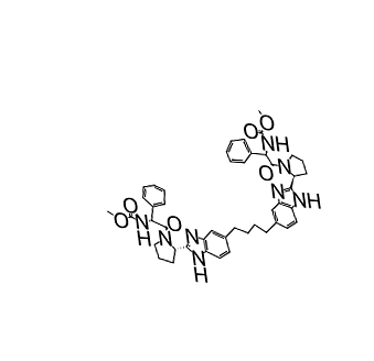 COC(=O)N[C@@H](C(=O)N1CCC[C@H]1c1nc2cc(CCCCc3ccc4[nH]c([C@@H]5CCCN5C(=O)[C@H](NC(=O)OC)c5ccccc5)nc4c3)ccc2[nH]1)c1ccccc1